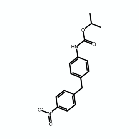 CC(C)OC(=O)Nc1ccc(Cc2ccc([N+](=O)[O-])cc2)cc1